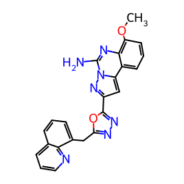 COc1cccc2c1nc(N)n1nc(-c3nnc(Cc4cccc5cccnc45)o3)cc21